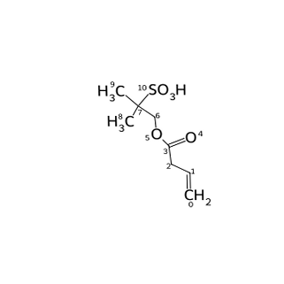 C=CCC(=O)OCC(C)(C)S(=O)(=O)O